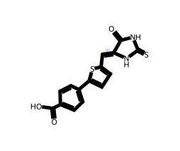 O=C1NC(=S)N/C1=C\c1ccc(-c2ccc(C(=O)O)cc2)s1